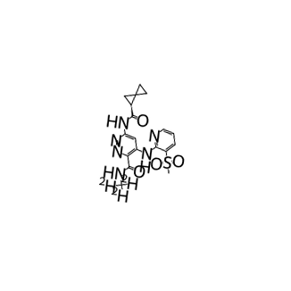 [2H]C([2H])([2H])NC(=O)c1nnc(NC(=O)[C@H]2CC23CC3)cc1Nc1ncccc1S(C)(=O)=O